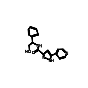 O=C(NC(CO)c1ccccc1)c1cc(-c2ccncc2)[nH]n1